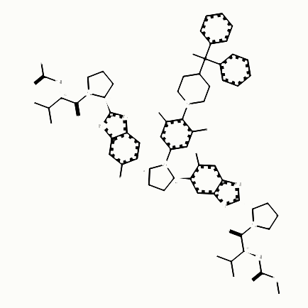 COC(=O)N[C@H](C(=O)N1CCC[C@H]1c1nc2cc([C@H]3CC[C@H](c4cc5nc([C@@H]6CCCN6C(=O)[C@@H](NC(=O)O)C(C)C)[nH]c5cc4F)N3c3cc(F)c(N4CCC(C(F)(c5ccccc5)c5ccccc5)CC4)c(F)c3)c(F)cc2[nH]1)C(C)C